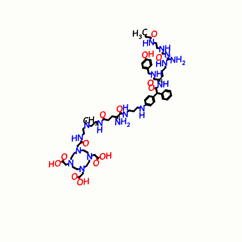 CCC(=O)NCCNC(=O)/N=C(/N)NCCC[C@@H](NC(=O)C(c1ccccc1)c1ccc(NCCCNC(=O)[C@H](N)CCC(=O)NCCN(C)CCNC(=O)CN2CCN(CC(=O)O)CCN(CC(=O)O)CCN(CC(=O)O)CC2)cc1)C(=O)NCc1ccc(O)cc1